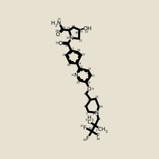 CC(C)(CN1CCC(COc2ccc(-c3ccc(C(=O)N4C[C@H](O)CC4C(N)=O)cc3)nc2)CC1)C(F)(F)F